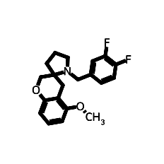 COc1cccc2c1CC1(CCCN1Cc1ccc(F)c(F)c1)CO2